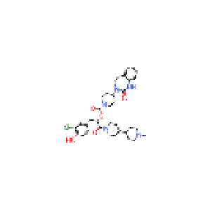 CN1CCC(C2CCN(C(=O)[C@@H](Cc3ccc(O)c(Cl)c3)OC(=O)N3CCC(N4CCc5ccccc5NC4=O)CC3)CC2)CC1